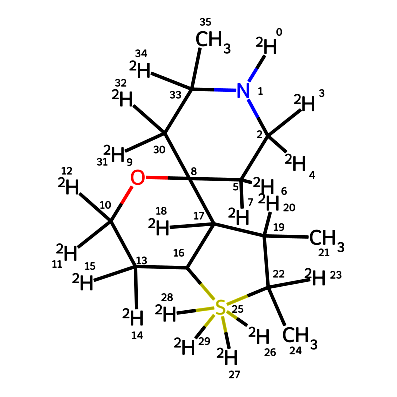 [2H]N1C([2H])([2H])C([2H])([2H])C2(OC([2H])([2H])C([2H])([2H])C3C2([2H])C([2H])(C)C([2H])(C)S3([2H])([2H])([2H])[2H])C([2H])([2H])C1([2H])C